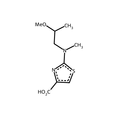 COC(C)CN(C)c1nc(C(=O)O)cs1